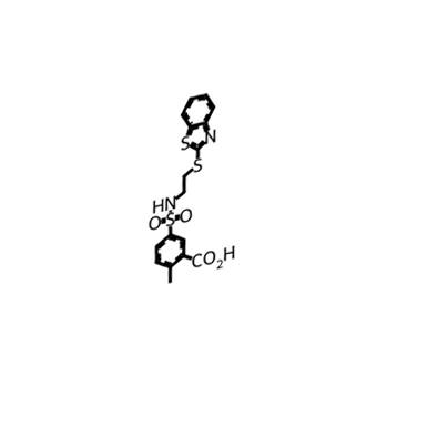 Cc1ccc(S(=O)(=O)NCCSc2nc3ccccc3s2)cc1C(=O)O